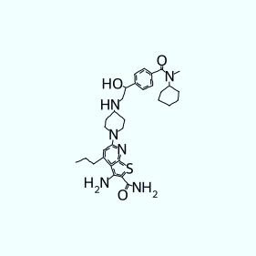 CCCc1cc(N2CCC(NCC(O)c3ccc(C(=O)N(C)C4CCCCC4)cc3)CC2)nc2sc(C(N)=O)c(N)c12